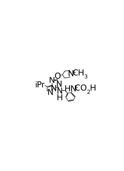 CC(C)c1cnn2c(NCc3ccccc3NC(=O)O)nc(OC3CCN(C)CC3)nc12